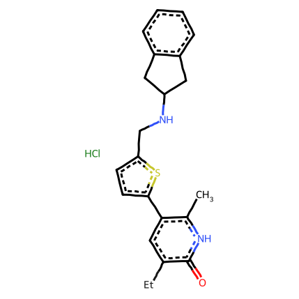 CCc1cc(-c2ccc(CNC3Cc4ccccc4C3)s2)c(C)[nH]c1=O.Cl